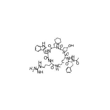 CC(=O)N[C@@H](Cc1ccccc1)C(=O)NC1CCCNC(=O)C(CCCNC(=N)N)NC(=O)C(Cc2c[nH]c3ccccc23)NC(=O)[C@@H](CC2CCCCC2)NC(=O)C2C[C@@H](O)CN2C1=O